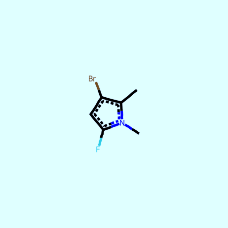 Cc1c(Br)cc(F)n1C